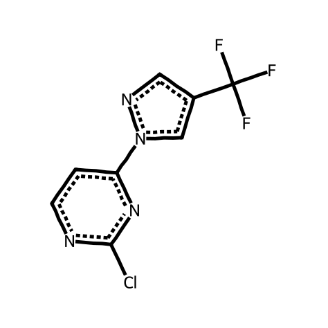 FC(F)(F)c1cnn(-c2ccnc(Cl)n2)c1